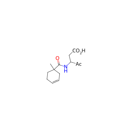 CC(=O)C(CC(=O)O)NC(=O)C1(C)CC=CCC1